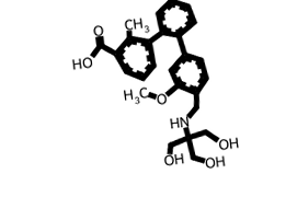 COc1cc(-c2ccccc2-c2cccc(C(=O)O)c2C)ccc1CNC(CO)(CO)CO